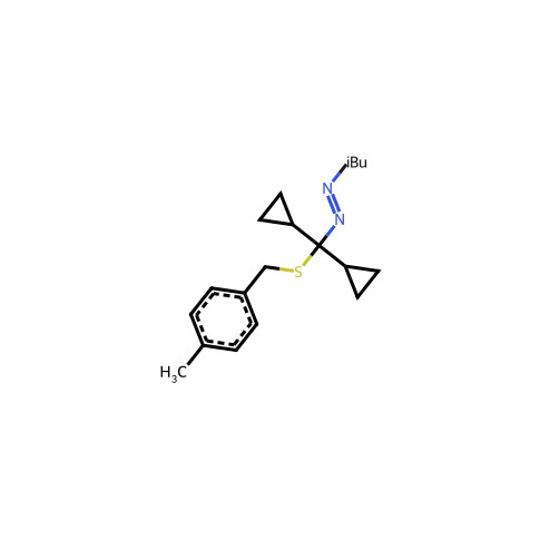 CCC(C)N=NC(SCc1ccc(C)cc1)(C1CC1)C1CC1